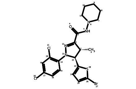 C[C@H]1C(C(=O)NN2CCCCC2)=NN(c2ccc(Cl)cc2Cl)[C@@H]1c1ccc(Br)s1